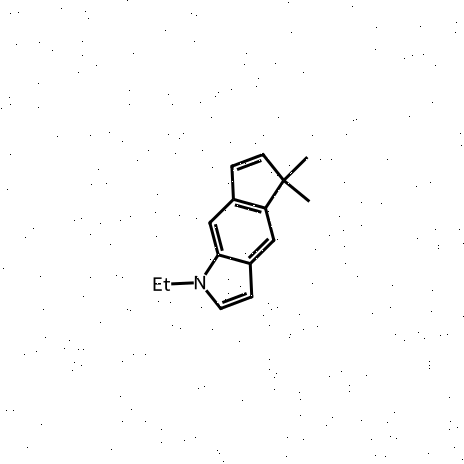 CCn1ccc2cc3c(cc21)C=CC3(C)C